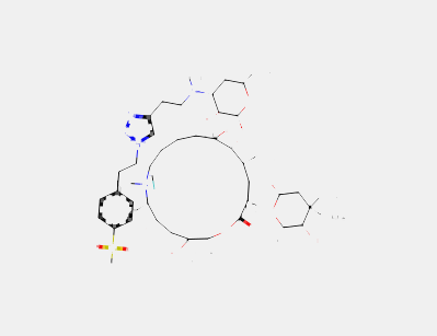 CC[C@H]1OC(=O)[C@H](C)[C@@H](O[C@H]2C[C@@](C)(OC)[C@@H](O)[C@H](C)O2)[C@H](C)[C@@H](O[C@@H]2O[C@H](C)C[C@H](N(C)CCc3cn([C@H](CF)Cc4ccc(S(=O)(=O)CC)cc4)nn3)[C@H]2O)[C@](C)(O)CC[C@@H](C)CN(C)[C@H](C)[C@@H](O)C[C@]1(C)O